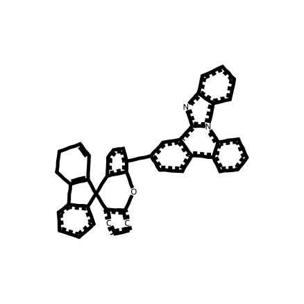 C1=CC2=C(CC1)c1ccccc1C21c2ccccc2Oc2c(-c3ccc4c5ccccc5n5c6ccccc6nc5c4c3)cccc21